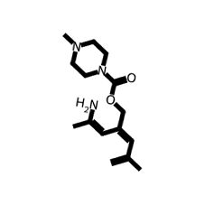 C=C(C)/C=C(\C=C(\C)N)COC(=O)N1CCN(C)CC1